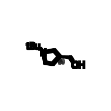 CC(C)(C)N1CC[C@H](CO)C1